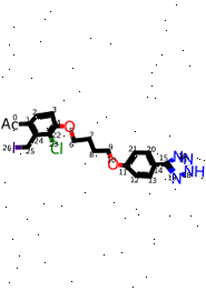 CC(=O)c1ccc(OCCCCOc2ccc(-c3nn[nH]n3)cc2)c(Cl)c1CI